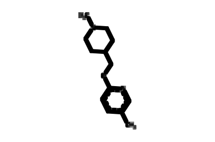 Cc1ccc(OCC2CCN(C)CC2)nc1